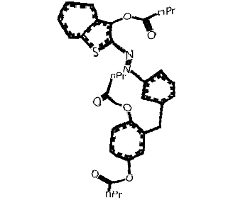 CCCC(=O)Oc1ccc(OC(=O)CCC)c(Cc2cccc(/N=N/c3sc4ccccc4c3OC(=O)CCC)c2)c1